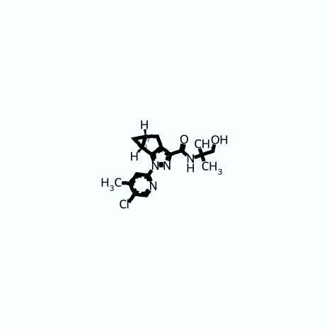 Cc1cc(-n2nc(C(=O)NC(C)(C)CO)c3c2[C@@H]2C[C@@H]2C3)ncc1Cl